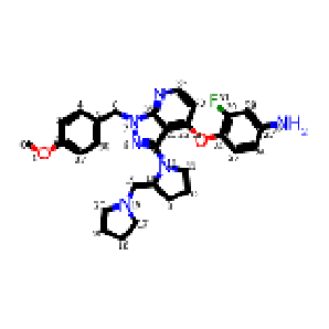 COc1ccc(Cn2nc(N3CCCC3CN3CCCC3)c3c(Oc4ccc(N)cc4F)ccnc32)cc1